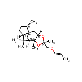 CC=COC[C@@]1(C)O[C@H]2C[C@@]34C[C@H](C(C)(C)[C@@H]3CC[C@H]4C)[C@@]2(C)O1